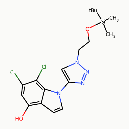 CC(C)(C)[Si](C)(C)OCCn1cc(-n2ccc3c(O)cc(Cl)c(Cl)c32)nn1